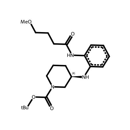 COCCCC(=O)Nc1ccccc1N[C@@H]1CCCN(C(=O)OC(C)(C)C)C1